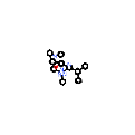 c1ccc(-c2cc(-c3ccccc3)cc(-c3cnc(-c4ccc5c(c4)oc4ccc6c7ccccc7n(-c7ccccc7)c6c45)c(-c4nc(-c5ccccc5)nc(-c5ccccc5)n4)c3)c2)cc1